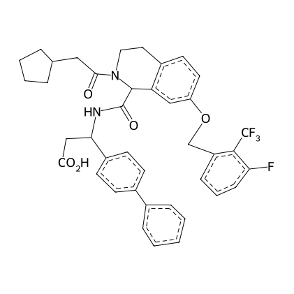 O=C(O)CC(NC(=O)C1c2cc(OCc3cccc(F)c3C(F)(F)F)ccc2CCN1C(=O)CC1CCCC1)c1ccc(-c2ccccc2)cc1